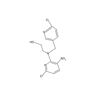 O=[N+]([O-])c1ccc(Cl)nc1N(CCO)Cc1ccc(Cl)nc1